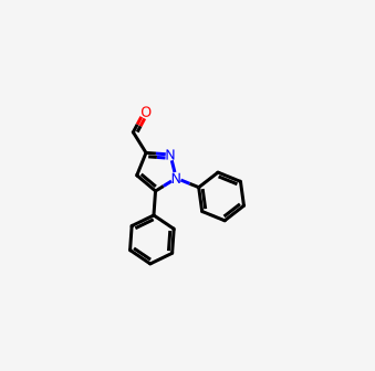 O=Cc1cc(-c2ccccc2)n(-c2ccccc2)n1